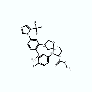 COC(=O)[C@H]1CC[C@@]2(C[C@@H](c3cc(-n4cncc4C(F)(F)F)ccc3SC)CO2)[C@@H]1c1ccc(F)cc1